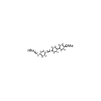 CCCCC#CCc1ccc(C#Cc2ccc(-c3ccc(OC)cc3)cc2)cc1